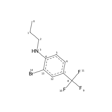 CCCNc1ccc(C(F)(F)F)cc1Br